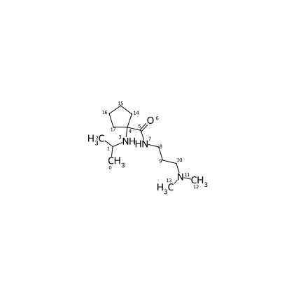 CC(C)NC1(C(=O)NCCCN(C)C)CCCC1